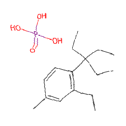 CCc1cc(C)ccc1C(CC)(CC)CC.O=P(O)(O)O